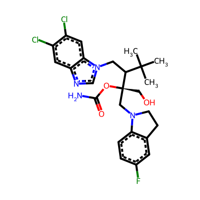 CC(C)(C)C(Cn1cnc2cc(Cl)c(Cl)cc21)[C@](CO)(CN1CCc2cc(F)ccc21)OC(N)=O